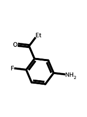 CCC(=O)c1cc(N)ccc1F